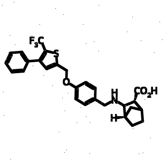 O=C(O)[C@H]1C2CC[C@@H](C2)C1NCc1ccc(OCc2cc(-c3ccccc3)c(C(F)(F)F)s2)cc1